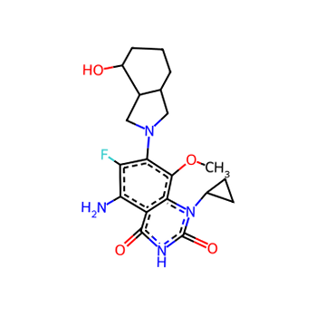 COc1c(N2CC3CCCC(O)C3C2)c(F)c(N)c2c(=O)[nH]c(=O)n(C3CC3)c12